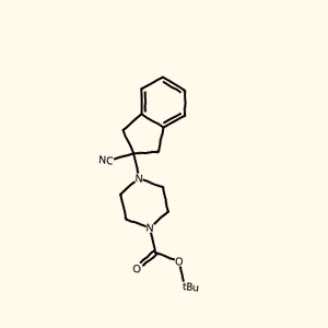 CC(C)(C)OC(=O)N1CCN(C2(C#N)Cc3ccccc3C2)CC1